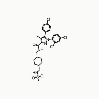 Cc1c(C(=O)NC[C@H]2CC[C@@H](CNS(C)(=O)=O)CC2)nn(-c2ccc(Cl)cc2Cl)c1-c1ccc(Cl)cc1